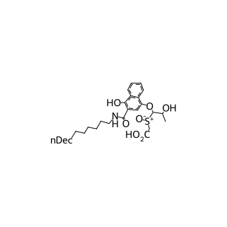 CCCCCCCCCCCCCCCCNC(=O)c1cc(OC(C(C)O)[S+]([O-])CC(=O)O)c2ccccc2c1O